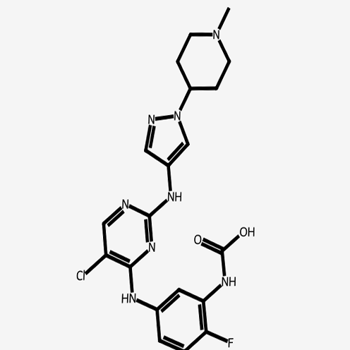 CN1CCC(n2cc(Nc3ncc(Cl)c(Nc4ccc(F)c(NC(=O)O)c4)n3)cn2)CC1